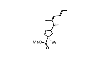 C/C=C/C=C(/C)N(C)[C@@H]1C=C[C@@](C(=O)OC)(C(C)C)C1